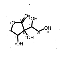 O=C1OCC(O)C1(O)C(O)CO